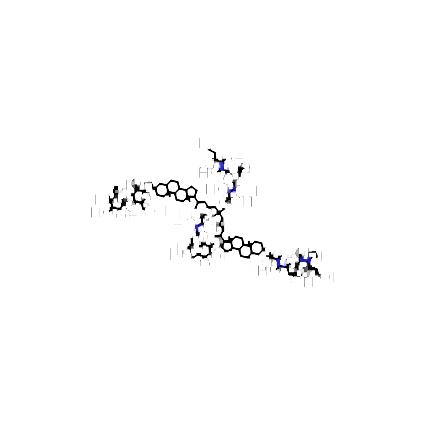 CC(CCCC(CCCC(C)C1CCC2C3CCC4CC(O[C@@H](O)/C(O)=C(\O)[C@H](CCO)O[C@H](O)/C(O)=C(/O)[C@@H](O)CCO)CCC4(C)C3CCC12C)(CO[C@@H](O)/C(O)=C(\O)[C@H](CCO)O[C@@H]1OC(CO)[C@H](O)C(O)C1O)CO[C@H](O)/C(O)=C(\O)[C@@H](CCO)O[C@@H](O)/C(O)=C(\O)[C@H](O)CCO)C1CCC2C3CCC4CC(O[C@@H]5OC(CO)[C@@H](O[C@H]6OC(CO)[C@@H](O)C(O)C6O)C(O)C5O)CCC4(C)C3CCC12C